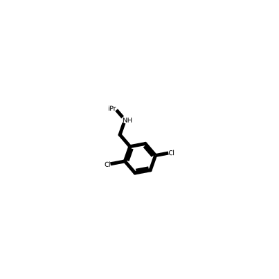 CC(C)NCc1cc(Cl)ccc1Cl